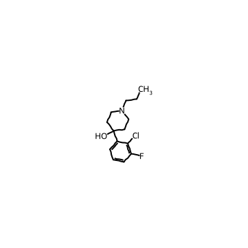 CCCN1CCC(O)(c2cccc(F)c2Cl)CC1